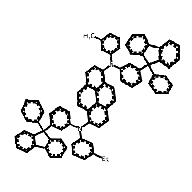 CCc1cccc(N(c2cccc(C3(c4ccccc4)c4ccccc4-c4ccccc43)c2)c2ccc3ccc4c(N(c5cccc(C)c5)c5cccc(C6(c7ccccc7)c7ccccc7-c7ccccc76)c5)ccc5ccc2c3c54)c1